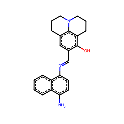 Nc1ccc(/N=C/c2cc3c4c(c2O)CCCN4CCC3)c2ccccc12